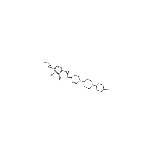 CCOc1ccc(OCC2C=CC(C3CCC(C4CCC(C)CC4)CC3)CC2)c(F)c1F